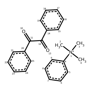 C[N+](C)(C)c1ccccc1.O=C(C(=O)c1ccccc1)c1ccccc1